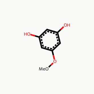 COOc1cc(O)cc(O)c1